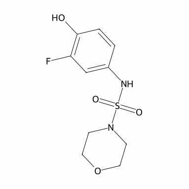 O=S(=O)(Nc1ccc(O)c(F)c1)N1CCOCC1